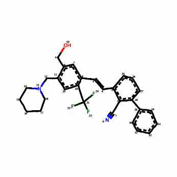 N#Cc1c(/C=C/c2cc(CO)c(CN3CCCCC3)cc2C(F)(F)F)cccc1-c1ccccc1